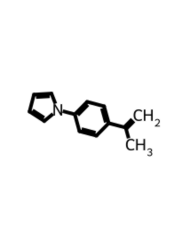 C=C(C)c1ccc(-n2cccc2)cc1